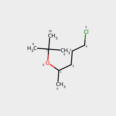 CC(CCCCl)OC(C)(C)C